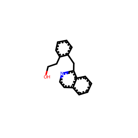 OCCc1ccccc1Cc1nccc2ccccc12